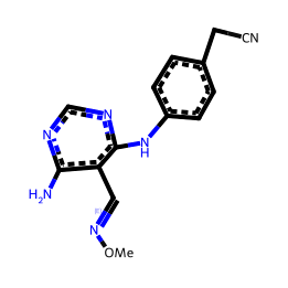 CO/N=C/c1c(N)ncnc1Nc1ccc(CC#N)cc1